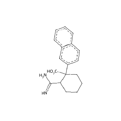 N=C(N)C1CCCCC1(C(=O)O)c1ccc2ccccc2c1